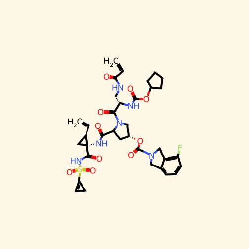 C=CC(=O)NC[C@H](NC(=O)OC1CCCC1)C(=O)N1C[C@H](OC(=O)N2Cc3cccc(F)c3C2)CC1C(=O)N[C@]1(C(=O)NS(=O)(=O)C2=CC2)C[C@H]1C=C